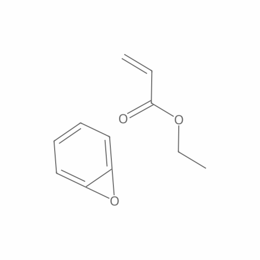 C=CC(=O)OCC.c1ccc2c(c1)O2